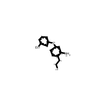 CCc1cccc(Sc2ccc(CCI)c(N)c2)c1